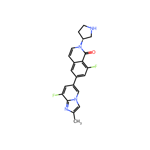 Cc1cn2cc(-c3cc(F)c4c(=O)n([C@H]5CCNC5)ccc4c3)cc(F)c2n1